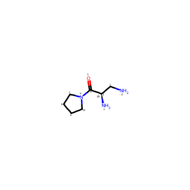 NC[C@@H](N)C(=O)N1CCCC1